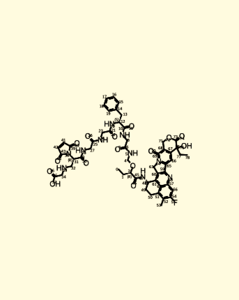 CC[C@@H](OCNC(=O)CNC(=O)[C@H](Cc1ccccc1)NC(=O)CNC(=O)CNC(=O)[C@@H](CNCC(=O)O)N1C(=O)C=CC1=O)C(=O)N[C@H]1CCc2c(C)c(F)cc3nc4c(c1c23)Cn1c-4cc2c(c1=O)COC(=O)[C@]2(O)CC